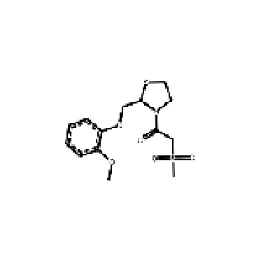 COc1ccccc1OCC1SCCN1C(=O)CS(C)(=O)=O